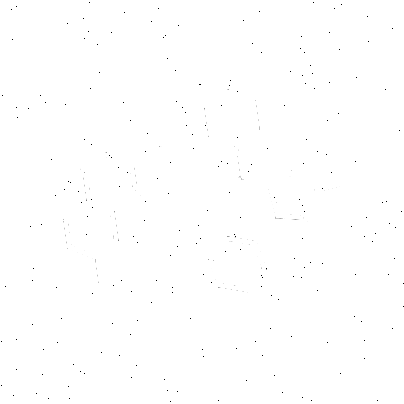 Cn1nc(C(=O)N2CCCC[C@H]2CNc2cnc3cc(F)c(F)cc3n2)c(-c2ccc(F)cc2)n1